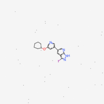 Ic1n[nH]c2ncc(-c3cncc(OC4CCCCC4)c3)cc12